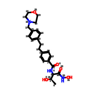 C[C@@H](O)C(NC(=O)c1ccc(CCc2ccc(CN3CCOCC3)cc2)cc1)C(=O)NO